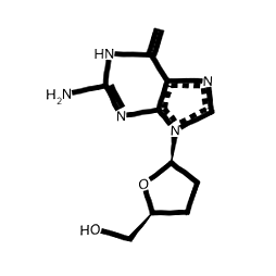 C=C1NC(N)=Nc2c1ncn2[C@H]1CC[C@@H](CO)O1